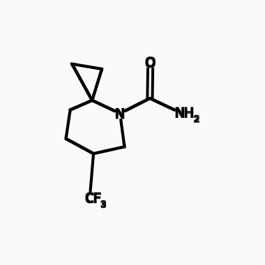 NC(=O)N1CC(C(F)(F)F)CCC12CC2